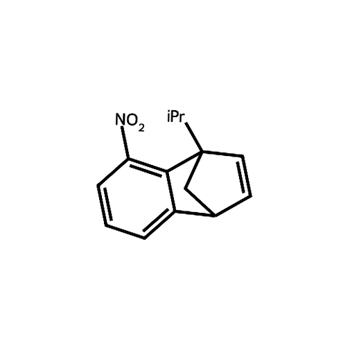 CC(C)C12C=CC(C1)c1cccc([N+](=O)[O-])c12